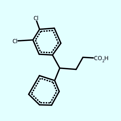 O=C(O)CCC(c1ccccc1)c1ccc(Cl)c(Cl)c1